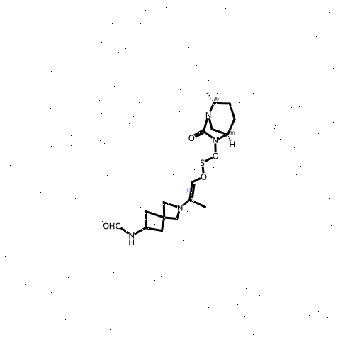 C/C(=C\OSON1C(=O)N2C[C@H]1CC[C@H]2C)N1CC2(CC(NC=O)C2)C1